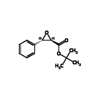 CC(C)(C)OC(=O)[C@@H]1O[C@H]1c1ccccc1